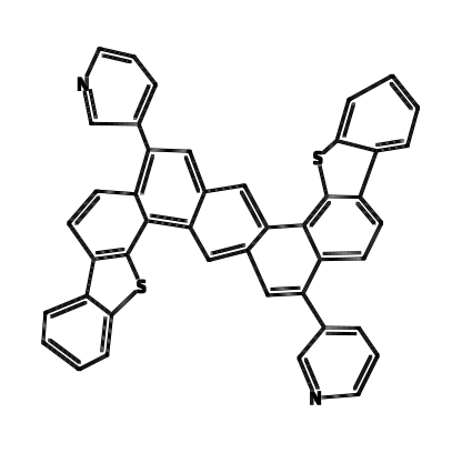 c1cncc(-c2cc3cc4c(cc(-c5cccnc5)c5ccc6c7ccccc7sc6c54)cc3c3c2ccc2c4ccccc4sc23)c1